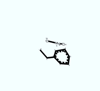 [CH2]Cc1ccccc1.[Cl][Mg][Cl]